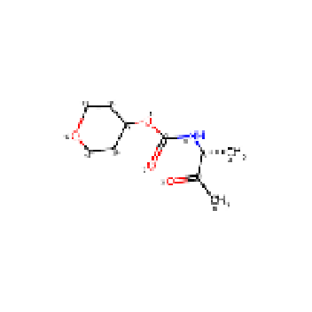 CC(=O)[C@@H](C)NC(=O)OC1CCOCC1